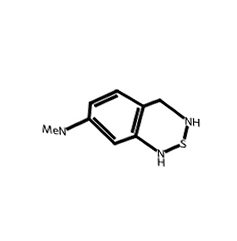 CNc1ccc2c(c1)NSNC2